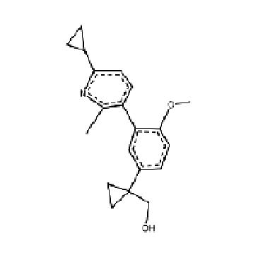 COc1ccc(C2(CO)CC2)cc1-c1ccc(C2CC2)nc1C